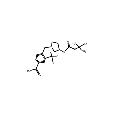 CC(C)(C)OC(=O)N[C@@H]1CCN(Cc2ccc(C(=O)O)cc2C(F)(F)F)C1